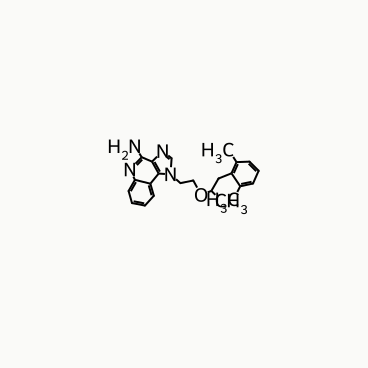 Cc1cccc(C)c1CC(C)OCCn1cnc2c(N)nc3ccccc3c21